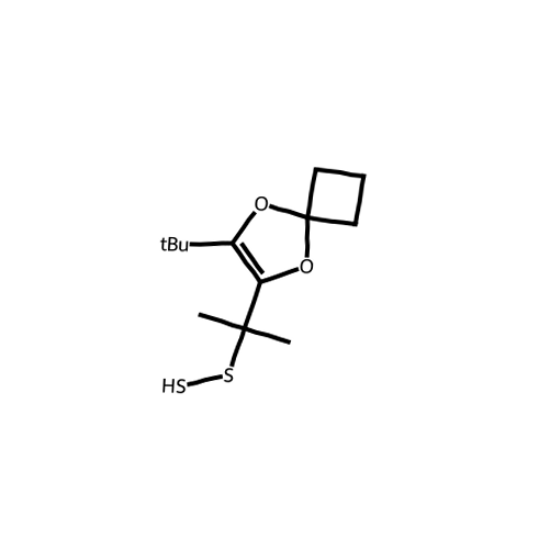 CC(C)(C)C1=C(C(C)(C)SS)OC2(CCC2)O1